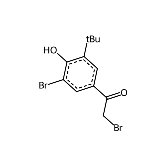 CC(C)(C)c1cc(C(=O)CBr)cc(Br)c1O